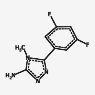 Cn1c(N)nnc1-c1cc(F)cc(F)c1